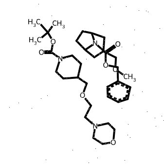 CC(C)(C)OC(=O)N1CCC(COCCN2CCOCC2)CC1.COCC1CC2CCC(C1)N2C(=O)OCc1ccccc1